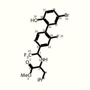 COC(=O)C(CC(C)C)NC(c1ccc(-c2cc(Br)ccc2O)c(F)c1)C(F)(F)F